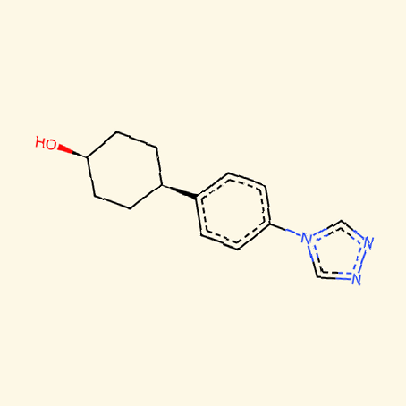 O[C@H]1CC[C@@H](c2ccc(-n3cnnc3)cc2)CC1